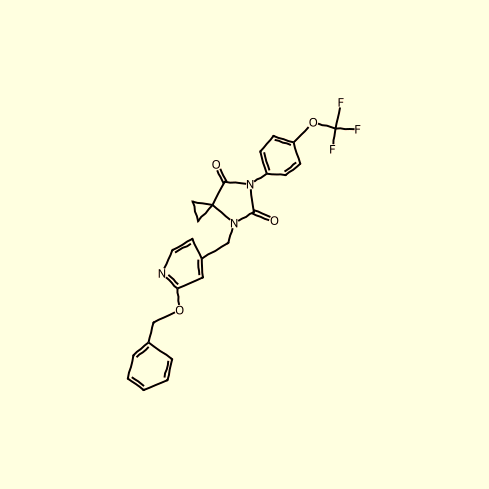 O=C1N(c2ccc(OC(F)(F)F)cc2)C(=O)C2(CC2)N1Cc1ccnc(OCc2ccccc2)c1